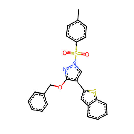 Cc1ccc(S(=O)(=O)n2cc(-c3cc4ccccc4s3)c(OCc3ccccc3)n2)cc1